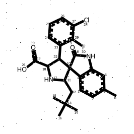 Cc1ccc2c(c1)NC(=O)C21C(CC(C)(C)C)NC(C(=O)O)C1c1cccc(Cl)c1F